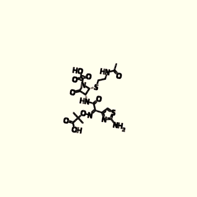 CC(=O)NCCS[C@@H]1[C@H](NC(=O)C(=NOC(C)(C)C(=O)O)c2csc(N)n2)C(=O)N1S(=O)(=O)O